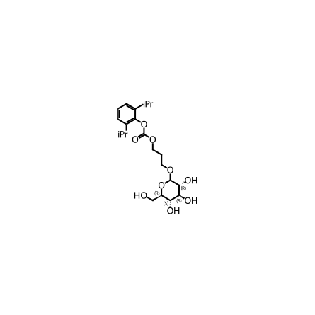 CC(C)c1cccc(C(C)C)c1OC(=O)OCCCOC1O[C@H](CO)[C@@H](O)[C@H](O)[C@H]1O